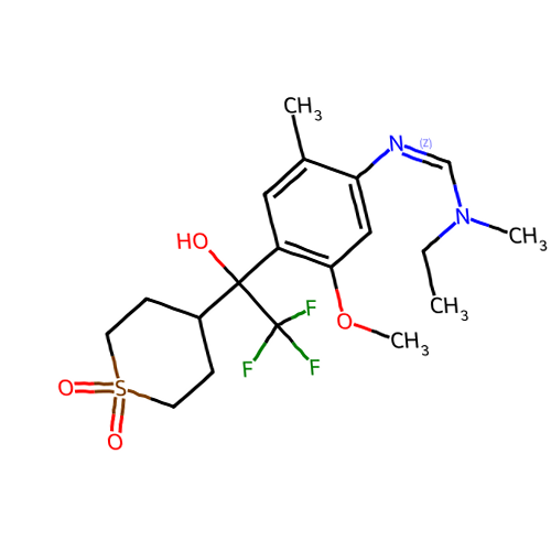 CCN(C)/C=N\c1cc(OC)c(C(O)(C2CCS(=O)(=O)CC2)C(F)(F)F)cc1C